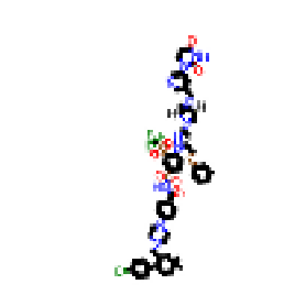 CC1(C)CCC(c2ccc(Cl)cc2)=C(CN2CCN(c3ccc(C(=O)NS(=O)(=O)c4ccc(N[C@H](CCN5C[C@H]6C[C@@H]5CN6Cc5cncc(N6CCC(=O)NC6=O)c5)CSc5ccccc5)c(S(=O)(=O)C(F)(F)F)c4)cc3)CC2)C1